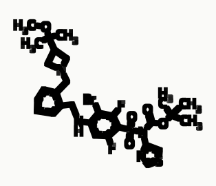 COC(C)(C)C1CN(Cc2ccccc2CNc2cc(F)c(S(=O)(=O)N(C(=O)OC(C)(C)C)c3cscn3)c(F)c2Br)C1